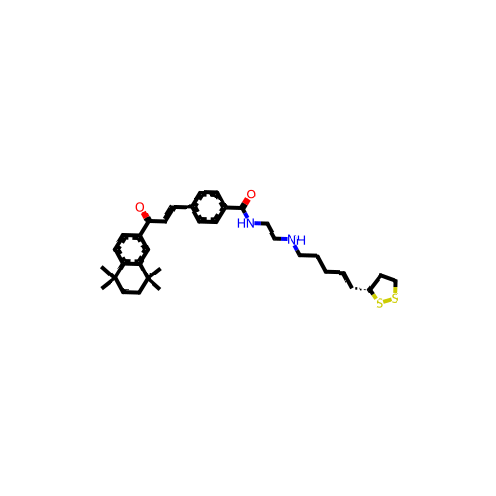 CC1(C)CCC(C)(C)c2cc(C(=O)/C=C/c3ccc(C(=O)NCCNCCCCC[C@@H]4CCSS4)cc3)ccc21